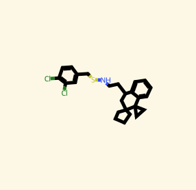 Clc1ccc(CSNCCC2CC3(CCCC3)C3(CC3)c3ccccc32)cc1Cl